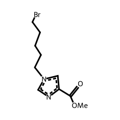 COC(=O)c1cn(CCCCCBr)cn1